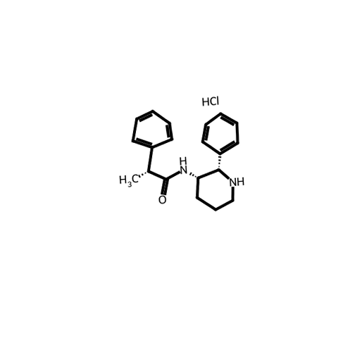 C[C@@H](C(=O)N[C@H]1CCCN[C@H]1c1ccccc1)c1ccccc1.Cl